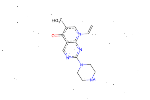 C=Cn1cc(C(=O)O)c(=O)c2cnc(N3CCNCC3)nc21